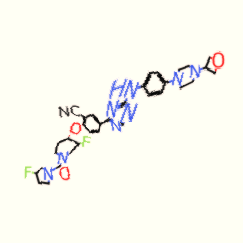 N#Cc1cc(-c2ncnc(Nc3ccc(N4CCN(C5COC5)CC4)cc3)n2)ccc1O[C@H]1CCN(C(=O)N2CC[C@@H](F)C2)C[C@@H]1F